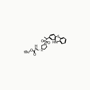 CC(c1ccc2c(c1)Nc1ccccc1S2)S(=O)(=O)N1CC[C@H](CNC(=O)OC(C)(C)C)C1